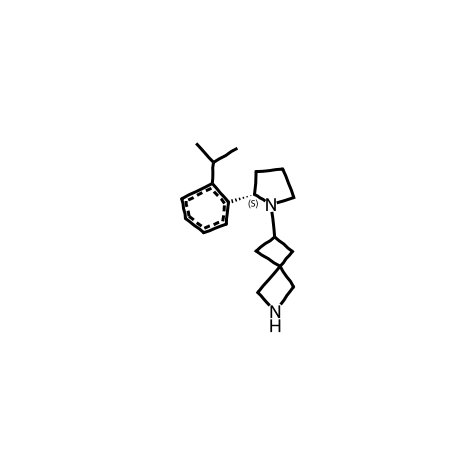 CC(C)c1ccccc1[C@@H]1CCCN1C1CC2(CNC2)C1